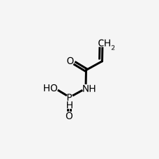 C=CC(=O)N[PH](=O)O